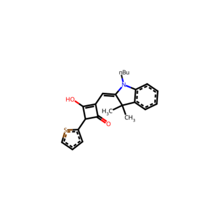 CCCCN1/C(=C/C2=C(O)C(c3cccs3)C2=O)C(C)(C)c2ccccc21